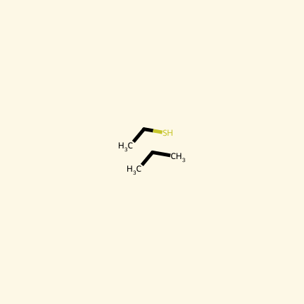 CCC.CCS